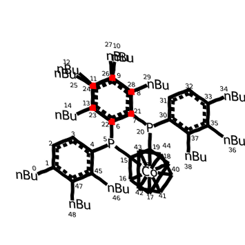 CCCCc1ccc(P(c2ccc(CCCC)c(CCCC)c2CCCC)[C]23[CH]4[CH]5[CH]6[C]2(P(c2ccc(CCCC)c(CCCC)c2CCCC)c2ccc(CCCC)c(CCCC)c2CCCC)[Co]54632789[CH]3[CH]2[CH]7[CH]8[CH]39)c(CCCC)c1CCCC